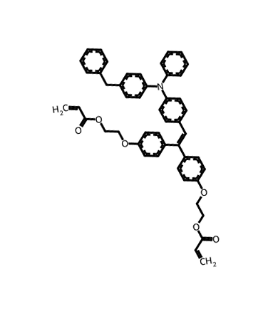 C=CC(=O)OCCOc1ccc(C(=Cc2ccc(N(c3ccccc3)c3ccc(Cc4ccccc4)cc3)cc2)c2ccc(OCCOC(=O)C=C)cc2)cc1